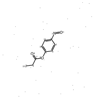 O=Nc1ccc(OC(=O)CI)cc1